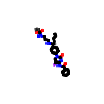 C=CCC[C@H](NCCCNC(=O)OC(C)(C)C)c1ccc(-n2cc(I)c(NC(=O)c3ccccc3)nc2=O)cc1